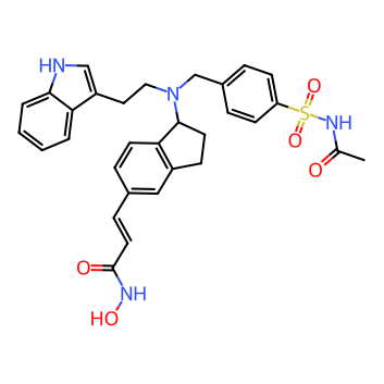 CC(=O)NS(=O)(=O)c1ccc(CN(CCc2c[nH]c3ccccc23)C2CCc3cc(C=CC(=O)NO)ccc32)cc1